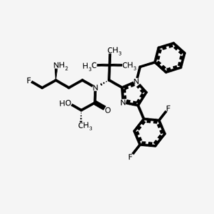 C[C@H](O)C(=O)N(CC[C@H](N)CF)[C@@H](c1nc(-c2cc(F)ccc2F)cn1Cc1ccccc1)C(C)(C)C